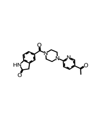 CC(=O)c1ccc(N2CCN(C(=O)c3ccc4c(c3)CC(=O)N4)CC2)nc1